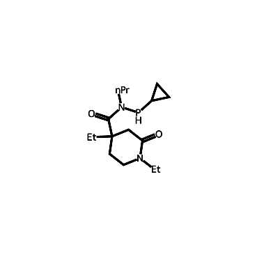 CCCN(PC1CC1)C(=O)C1(CC)CCN(CC)C(=O)C1